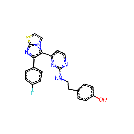 Oc1ccc(CCNc2nccc(-c3c(-c4ccc(F)cc4)nc4sccn34)n2)cc1